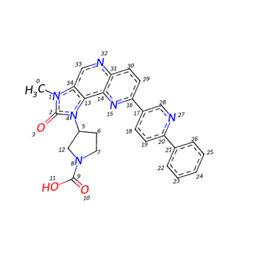 Cn1c(=O)n(C2CCN(C(=O)O)C2)c2c3nc(-c4ccc(-c5ccccc5)nc4)ccc3ncc21